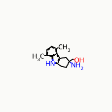 Cc1ccc(C)c2c3c([nH]c12)CCC(N)(CO)C3